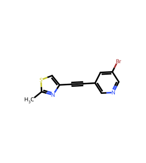 Cc1nc(C#Cc2cncc(Br)c2)cs1